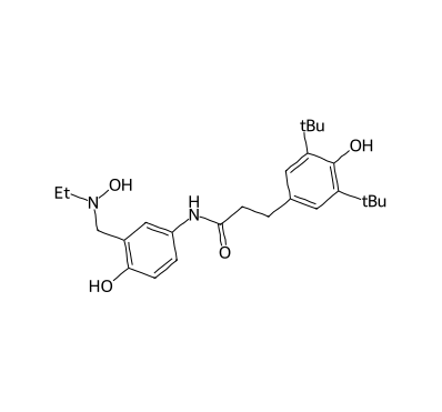 CCN(O)Cc1cc(NC(=O)CCc2cc(C(C)(C)C)c(O)c(C(C)(C)C)c2)ccc1O